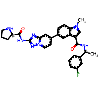 C[C@H](NC(=O)c1cn(C)c2ccc(-c3ccn4nc(NC(=O)[C@H]5CCCN5)nc4c3)cc12)c1cccc(F)c1